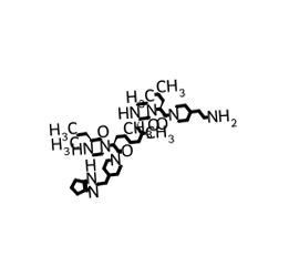 CC(C)C[C@@H]1NCCN([C@@H](CC(C)CCC(C)C[C@@H]2NCCN([C@@H](CC(C)C)C(=O)N3CCC(CCN)CC3)C2=O)C(=O)N2CCC(Cc3nc4c([nH]3)CCC4)CC2)C1=O